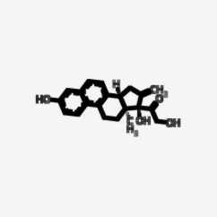 C=C1C[C@H]2c3ccc4cc(O)ccc4c3CC[C@]2(C)[C@@]1(O)C(=O)CO